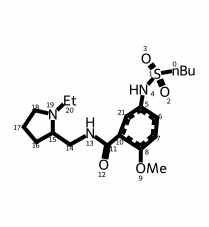 CCCCS(=O)(=O)Nc1ccc(OC)c(C(=O)NCC2CCCN2CC)c1